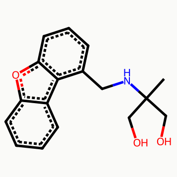 CC(CO)(CO)NCc1cccc2oc3ccccc3c12